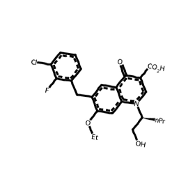 CCC[C@@H](CO)n1cc(C(=O)O)c(=O)c2cc(Cc3cccc(Cl)c3F)c(OCC)cc21